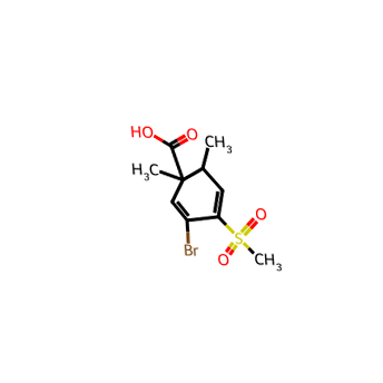 CC1C=C(S(C)(=O)=O)C(Br)=CC1(C)C(=O)O